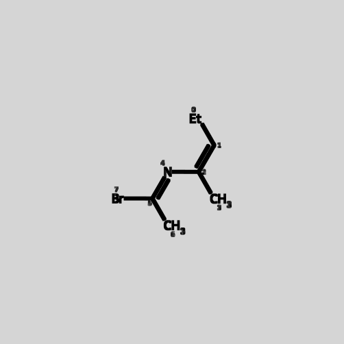 CC/C=C(C)\N=C(/C)Br